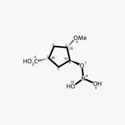 CO[C@H]1C[C@@H](C(=O)O)C[C@@H]1ON(O)O